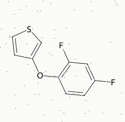 Fc1ccc(Oc2c[c]sc2)c(F)c1